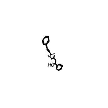 OC(Cc1cnc(C#Cc2ccccc2)s1)c1ccccc1